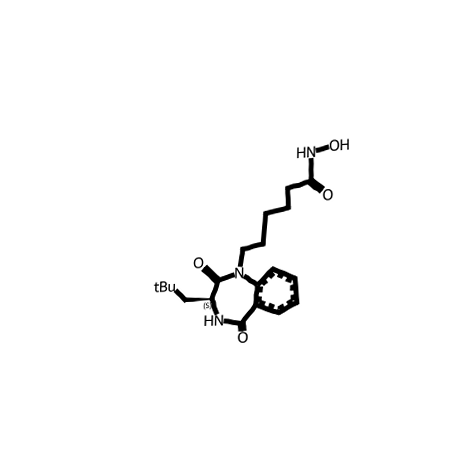 CC(C)(C)C[C@@H]1NC(=O)c2ccccc2N(CCCCCC(=O)NO)C1=O